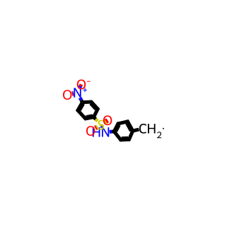 [CH2]c1ccc(NS(=O)(=O)c2ccc([N+](=O)[O-])cc2)cc1